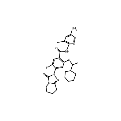 Cc1cc(N)cnc1NC(=O)c1cc(F)c(-n2nc3n(c2=O)CCCC3)cc1OC(C)C1CCCCC1